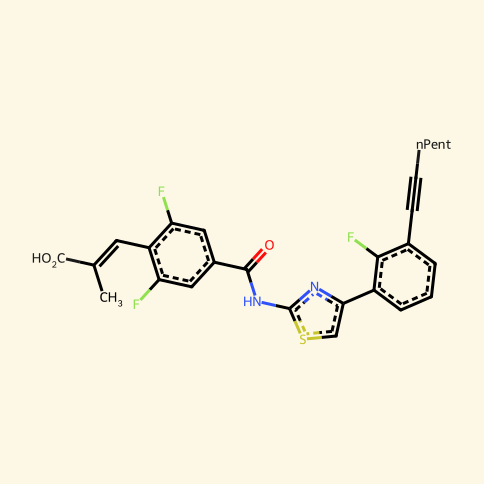 CCCCCC#Cc1cccc(-c2csc(NC(=O)c3cc(F)c(/C=C(\C)C(=O)O)c(F)c3)n2)c1F